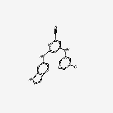 N#Cc1cc(Nc2cncc(Cl)c2)cc(Nc2ccc3cc[nH]c3c2)n1